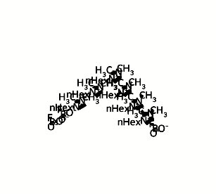 CCCCCC[n+]1ccn(C)c1C.CCCCCC[n+]1ccn(C)c1C.CCCCCC[n+]1ccn(C)c1C.CCCCCC[n+]1ccn(C)c1C.CCCCCC[n+]1ccn(C)c1C.CCCCCC[n+]1ccn(C)c1C.[O-]B([O-])F.[O-]B([O-])F.[O-]B([O-])F